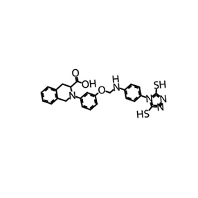 O=C(O)C1Cc2ccccc2CN1c1cccc(OCNc2ccc(-n3c(S)nnc3S)cc2)c1